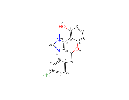 Oc1cccc(OCCc2ccc(Cl)cc2)c1-c1cnc[nH]1